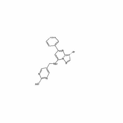 Oc1ncc(CNc2cc(-c3ccccc3)nc3c(Br)cnn23)cn1